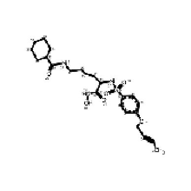 CC#CCOc1ccc(S(=O)(=O)NC(CCCCNC(=O)C2CCCCC2)C(=O)NO)cc1